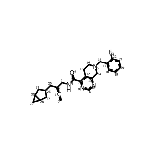 C=C=C(CNC(=O)c1ncnc2c1CCN(Cc1ccccc1F)C2)CC1CC2CC2C1